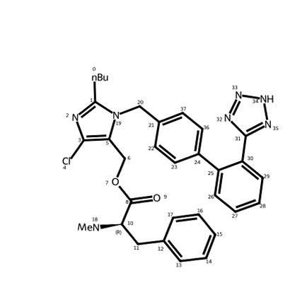 CCCCc1nc(Cl)c(COC(=O)[C@@H](Cc2ccccc2)NC)n1Cc1ccc(-c2ccccc2-c2nn[nH]n2)cc1